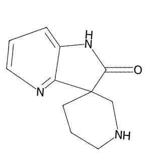 O=C1Nc2cccnc2C12CCCNC2